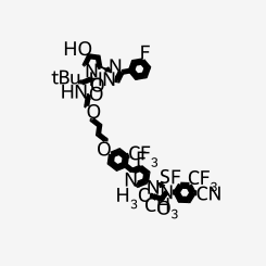 CC(C)(C)[C@H](NC(=O)COCCCCOc1ccc(-c2ncc(N3C(=S)N(c4ccc(C#N)c(C(F)(F)F)c4F)C(=O)C3(C)C)cc2F)c(C(F)(F)F)c1)C(=O)N1C[C@H](O)C[C@H]1c1nc(-c2cccc(F)c2)c[nH]1